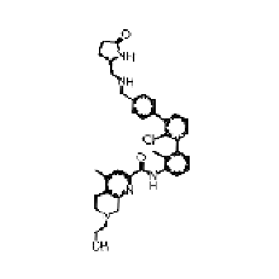 Cc1cc(C(=O)Nc2cccc(-c3cccc(-c4ccc(CNCC5CCC(=O)N5)cc4)c3Cl)c2C)nc2c1CCN(CCO)C2